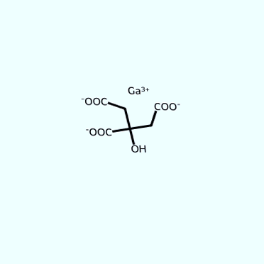 O=C([O-])CC(O)(CC(=O)[O-])C(=O)[O-].[Ga+3]